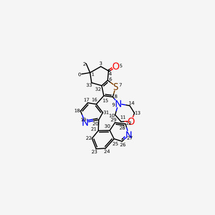 CC1(C)CC(=O)c2sc(N3CCOCC3)c(-c3ccnc(-c4cccc5cnccc45)c3)c2C1